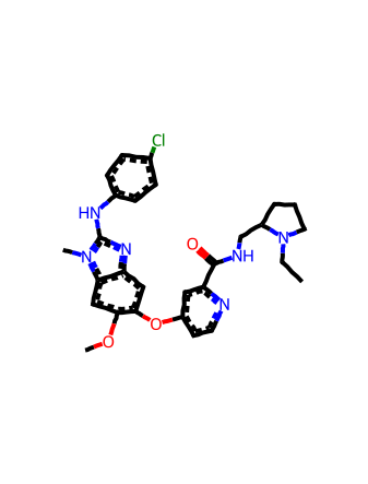 CCN1CCCC1CNC(=O)c1cc(Oc2cc3nc(Nc4ccc(Cl)cc4)n(C)c3cc2OC)ccn1